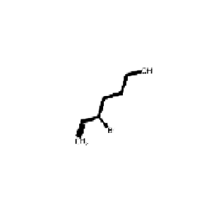 C=C[C@H](Br)CCCO